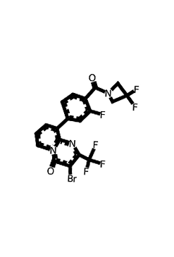 O=C(c1ccc(-c2cccn3c(=O)c(Br)c(C(F)(F)F)nc23)cc1F)N1CC(F)(F)C1